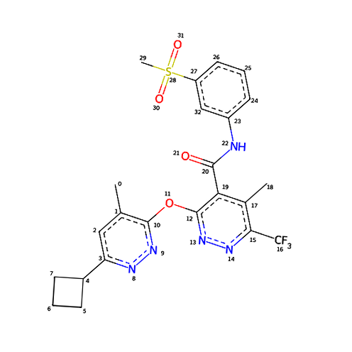 Cc1cc(C2CCC2)nnc1Oc1nnc(C(F)(F)F)c(C)c1C(=O)Nc1cccc(S(C)(=O)=O)c1